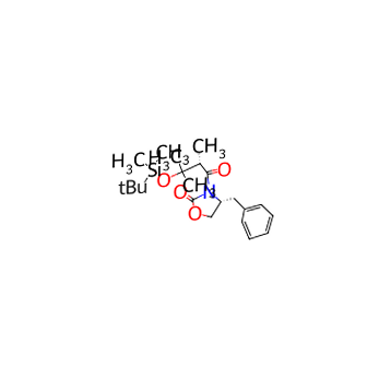 C[C@H](C(=O)N1C(=O)OC[C@H]1Cc1ccccc1)C(C)(C)O[Si](C)(C)C(C)(C)C